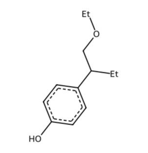 CCOCC(CC)c1ccc(O)cc1